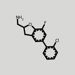 NCC1Cc2cc(-c3ccccc3Cl)cc(F)c2O1